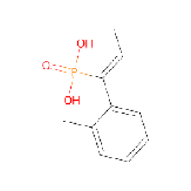 CC=C(c1ccccc1C)P(=O)(O)O